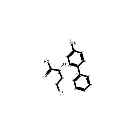 CCC[C@@H](C)C(=O)O.Nc1ccc(-c2ccccc2)cc1